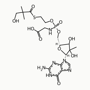 CC(C)(CO)C(=O)SCCOP(=O)(NCC(=O)O)OC[C@H]1O[C@@H](n2cnc3c(=O)[nH]c(N)nc32)C(C)(O)C1O